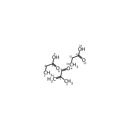 C=C(C)C=O.CCC(=O)O.CCC(=O)O